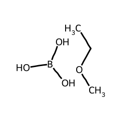 CCOC.OB(O)O